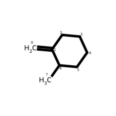 C=C1CCCCC1C